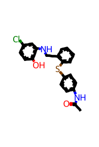 CC(=O)Nc1ccc(Sc2ccccc2CNc2cc(Cl)ccc2O)cc1